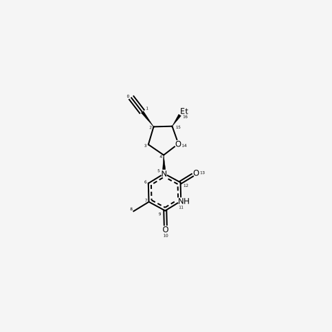 C#C[C@@H]1C[C@H](n2cc(C)c(=O)[nH]c2=O)O[C@@H]1CC